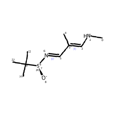 CN/C=C(C)/C=N/[S@@+]([O-])C(C)(C)C